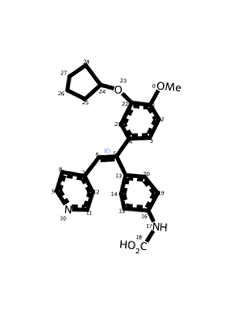 COc1ccc(/C(=C/c2ccncc2)c2ccc(NC(=O)O)cc2)cc1OC1CCCC1